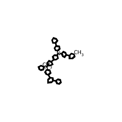 C[C@H]1C=CC=C(c2ccc(N(C3=CC=C(C4=CC=CCC4)CC3)C3=CC=C(C4=CC=C(N(c5ccc(-c6cccc(-c7ccccc7)c6)cc5)[C@]5(C)C=CC=CC5)CC4)CC3)cc2)C1